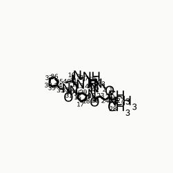 COCCn1cc(Nc2ncc3c(n2)N(c2cccc(NC(=O)/C=C/CN(C)C)c2)C(=O)N(Cc2ccccc2)C3)cn1